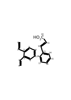 C=Cc1ccccc1C=C.O=C(O)C=Cc1ccccc1